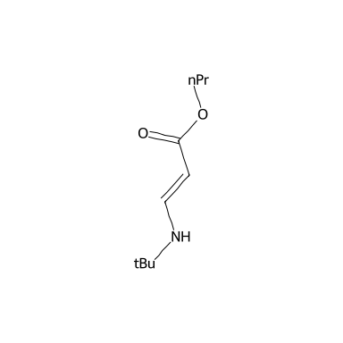 CCCOC(=O)C=CNC(C)(C)C